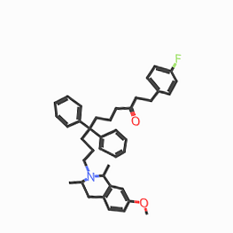 COc1ccc2c(c1)C(C)N(CCCC(CCCC(=O)CCc1ccc(F)cc1)(c1ccccc1)c1ccccc1)C(C)C2